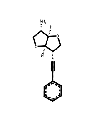 N[C@H]1CO[C@H]2[C@@H]1OC[C@@H]2C#Cc1ccccc1